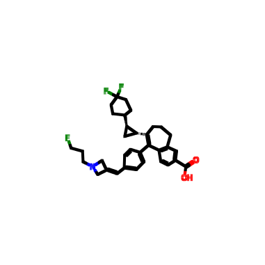 O=C(O)c1ccc2c(c1)CCCC([C@@H]1C[C@H]1C1CCC(F)(F)CC1)=C2c1ccc(C=C2CN(CCCF)C2)cc1